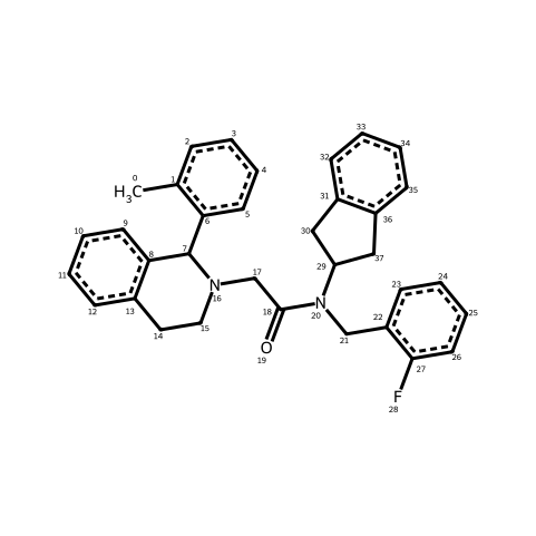 Cc1ccccc1C1c2ccccc2CCN1CC(=O)N(Cc1ccccc1F)C1Cc2ccccc2C1